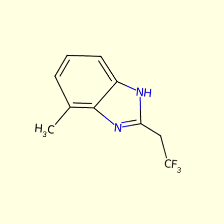 Cc1cccc2[nH]c(CC(F)(F)F)nc12